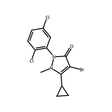 Cn1c(C2CC2)c(Br)c(=O)n1-c1cc(Cl)ccc1Cl